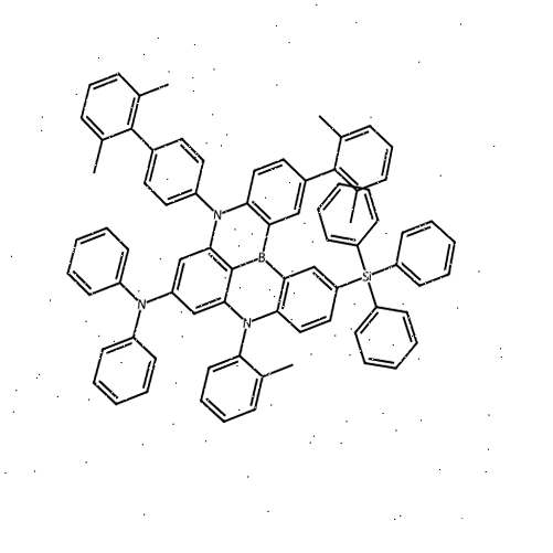 Cc1ccccc1N1c2ccc([Si](c3ccccc3)(c3ccccc3)c3ccccc3)cc2B2c3cc(-c4c(C)cccc4C)ccc3N(c3ccc(-c4c(C)cccc4C)cc3)c3cc(N(c4ccccc4)c4ccccc4)cc1c32